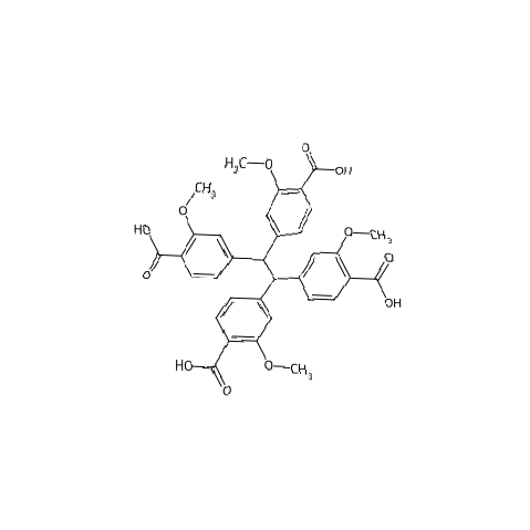 COc1cc(C(c2ccc(C(=O)O)c(OC)c2)C(c2ccc(C(=O)O)c(OC)c2)c2ccc(C(=O)O)c(OC)c2)ccc1C(=O)O